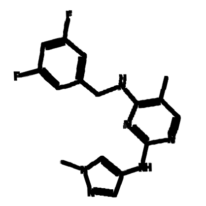 Cc1cnc(Nc2cnn(C)c2)nc1NCc1cc(F)cc(F)c1